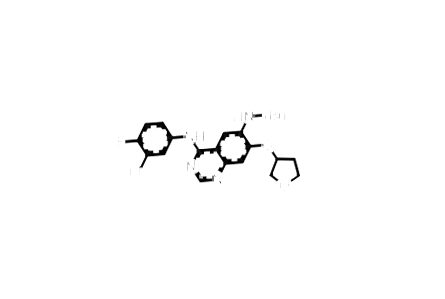 CC(C)(C)Nc1cc2c(Nc3ccc(F)c(Cl)c3)ncnc2cc1OC1CCOC1